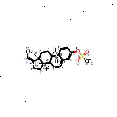 C[C@]12CC[C@H]3[C@@H](CC=C4C=C(OS(=O)(=O)C(F)(F)F)C=C[C@@H]43)[C@@H]1CC/C2=C/C#N